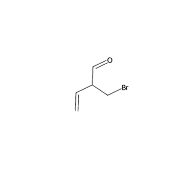 C=CC(C=O)CBr